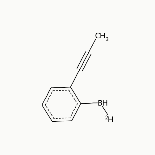 [2H]Bc1ccccc1C#CC